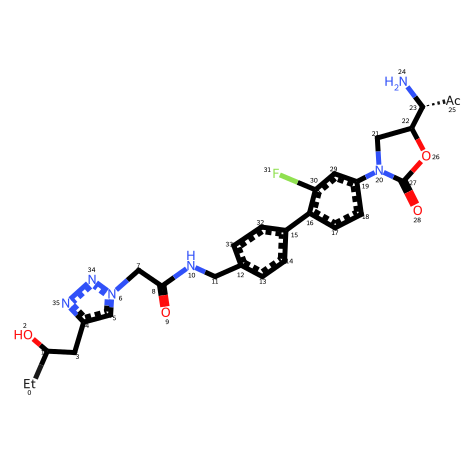 CCC(O)Cc1cn(CC(=O)NCc2ccc(-c3ccc(N4CC([C@H](N)C(C)=O)OC4=O)cc3F)cc2)nn1